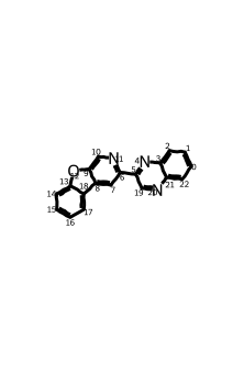 c1ccc2nc(-c3cc4c(cn3)oc3ccccc34)cnc2c1